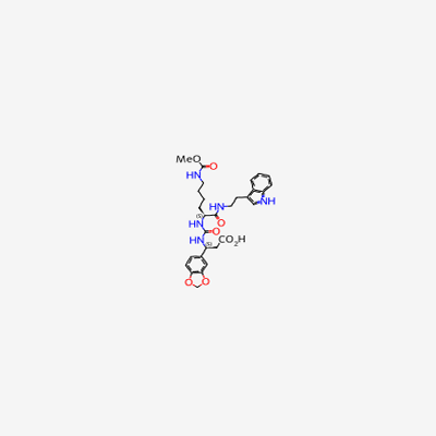 COC(=O)NCCCC[C@H](NC(=O)N[C@@H](CC(=O)O)c1ccc2c(c1)OCO2)C(=O)NCCc1c[nH]c2ccccc12